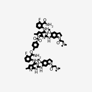 COc1cc2c(cc1Nc1nc(Nc3cccc(F)c3C(N)=O)c3cc(C)n(S(=O)(=O)c4ccc(C)cc4)c3n1)N(C(=O)CN(C)C)CC2.COc1cc2c(cc1Nc1nc(Nc3cccc(F)c3C(N)=O)c3cc(C)nc-3[nH]1)N(C(=O)CN(C)C)CC2